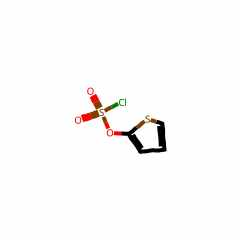 O=S(=O)(Cl)Oc1cccs1